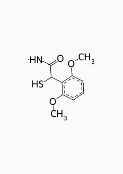 COc1cccc(OC)c1C(S)C([NH])=O